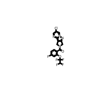 O=C(c1ccc(F)cc1OC(F)(F)C(F)F)N1Cc2nn3cc(Cl)cnc3c2C1